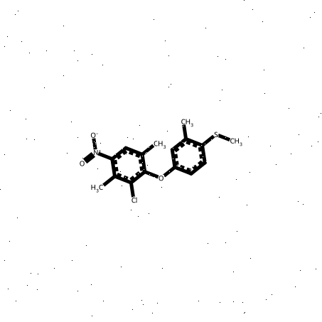 CSc1ccc(Oc2c(C)cc([N+](=O)[O-])c(C)c2Cl)cc1C